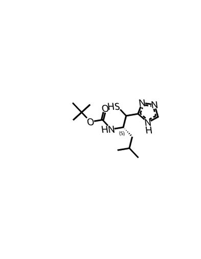 CC(C)C[C@H](NC(=O)OC(C)(C)C)C(S)c1nnc[nH]1